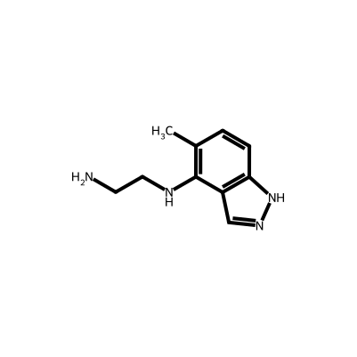 Cc1ccc2[nH]ncc2c1NCCN